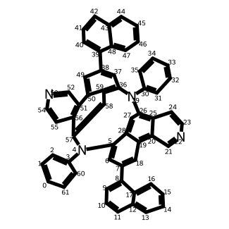 c1ccc(-n2c3cc(-c4cccc5ccccc45)cc4c5cnccc5c(cc43)n(-c3ccccc3)c3cc(-c4cccc5ccccc45)cc4c5cnccc5c2cc43)cc1